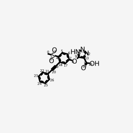 CS(=O)(=O)c1ccc(Oc2[nH]nnc2C(=O)O)cc1C#Cc1ccccc1